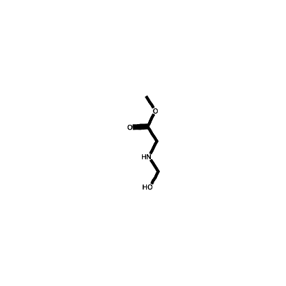 COC(=O)CNCO